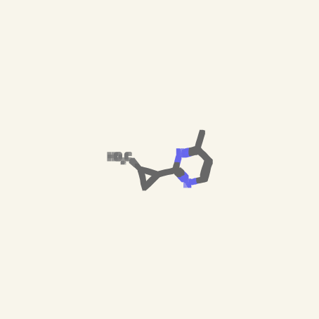 Cc1ccnc(C2C[C@H]2C(=O)O)n1